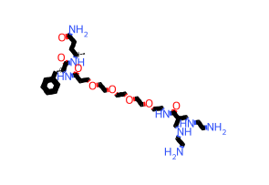 C[C@@H](CCC(N)=O)NC(=O)[C@@H](Cc1ccccc1)NC(=O)CCOCCOCCOCCOCCNC(=O)C(CNCCN)CNCCN